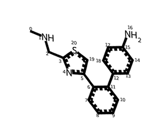 CNCc1nc(-c2ccccc2-c2ccc(N)cc2)cs1